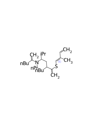 C=C/C(C)=C/SC(=C)C(CCCC)CC(C(C)C)N(CCC)C(=C)CCCC